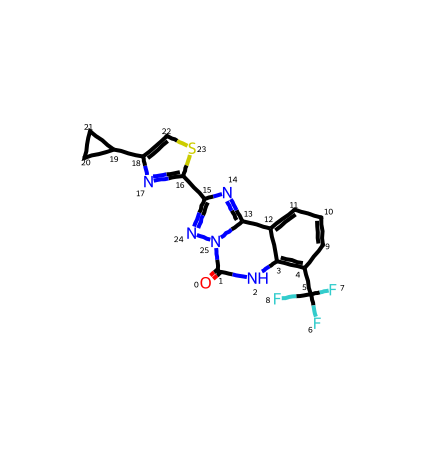 O=c1[nH]c2c(C(F)(F)F)cccc2c2nc(-c3nc(C4CC4)cs3)nn12